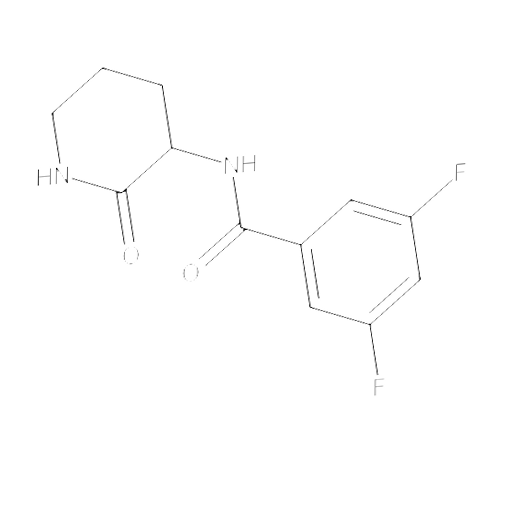 O=C(NC1CCCNC1=O)c1cc(F)cc(F)c1